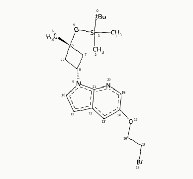 CC(C)(C)[Si](C)(C)O[C@]1(C)C[C@H](n2ccc3cc(OCCBr)cnc32)C1